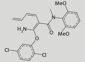 C=C/C=C\C(C(=O)N(C)c1c(OC)cccc1OC)=C(/N)Oc1cc(Cl)ccc1Cl